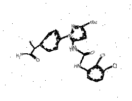 CC(C(N)=O)c1ccc(-n2nc(C(C)(C)C)cc2NC(=O)Nc2cccc(Cl)c2Cl)cc1